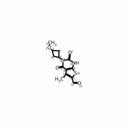 COC1CC(n2c(=O)[nH]c3sc(C=O)c(C)c3c2=O)C1